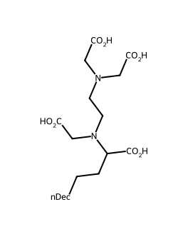 CCCCCCCCCCCCC(C(=O)O)N(CCN(CC(=O)O)CC(=O)O)CC(=O)O